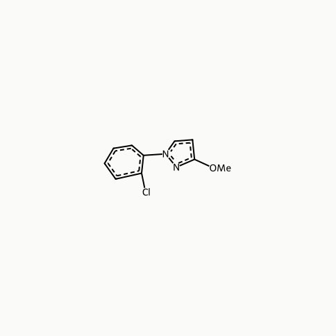 COc1ccn(-c2ccccc2Cl)n1